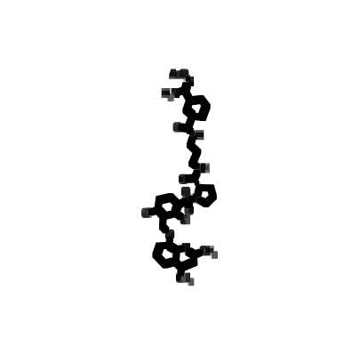 CC(=O)O/N=C(\N)c1cccc(C(=O)NCCCNC(=O)[C@@H]2CCCN2S(=O)(=O)c2ccc(Cl)c(COc3cccc4c(C)cc(C)nc34)c2Cl)c1